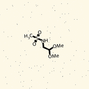 COC(CNS(C)(=O)=O)OC